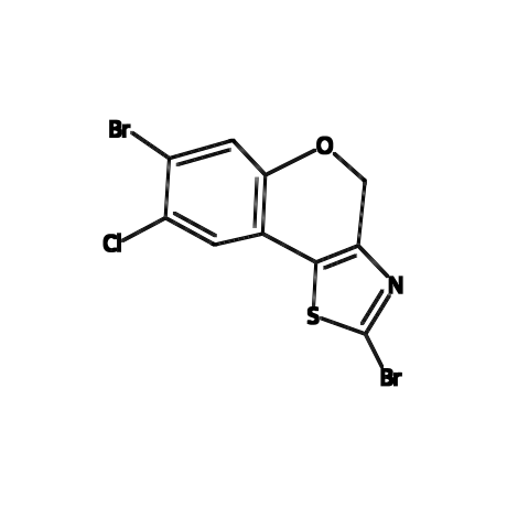 Clc1cc2c(cc1Br)OCc1nc(Br)sc1-2